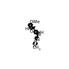 COc1ccc2c(c1)C1(C[C@H]1c1ccc3c(-c4ccc(N5CCN(C)CC5)nc4)n[nH]c3c1)C(=O)N2